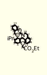 CCOC(=O)COc1ccc(C(C)C)cc1C1c2ccccc2CCN1C(=O)OCc1ccccc1